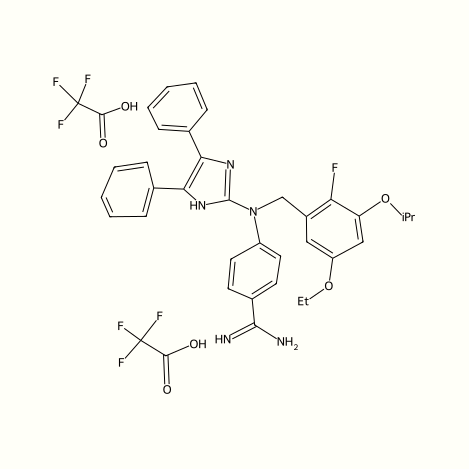 CCOc1cc(CN(c2ccc(C(=N)N)cc2)c2nc(-c3ccccc3)c(-c3ccccc3)[nH]2)c(F)c(OC(C)C)c1.O=C(O)C(F)(F)F.O=C(O)C(F)(F)F